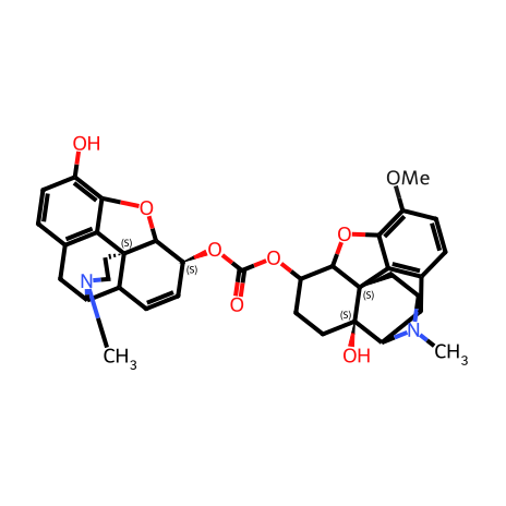 COc1ccc2c3c1OC1C(OC(=O)O[C@H]4C=CC5C6Cc7ccc(O)c8c7[C@@]5(CCN6C)C4O8)CC[C@@]4(O)C(C2)N(C)CC[C@]314